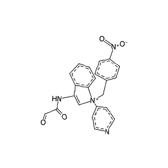 O=CC(=O)NC1=C[N+](Cc2ccc([N+](=O)[O-])cc2)(c2ccncc2)c2ccccc21